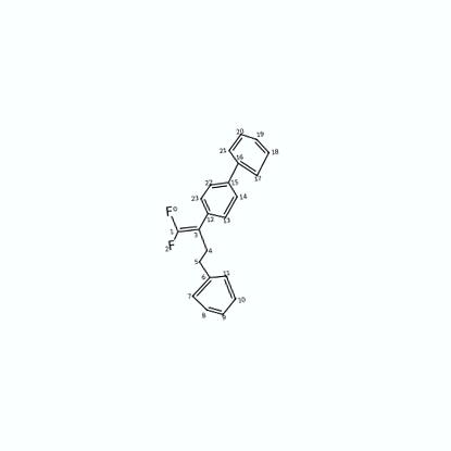 FC(F)=C(CCc1ccccc1)c1ccc(-c2ccccc2)cc1